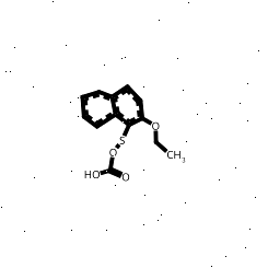 CCOc1ccc2ccccc2c1SOC(=O)O